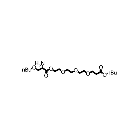 CCCCOC[C@H](N)C(=O)OCCOCCOCCOCCC(=O)OCCCC